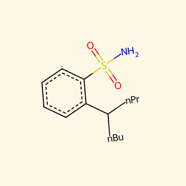 CCCCC(CCC)c1ccc[c]c1S(N)(=O)=O